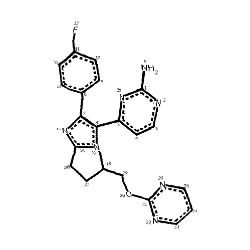 Nc1nccc(-c2c(-c3ccc(F)cc3)nc3n2C(COc2ncccn2)CC3)n1